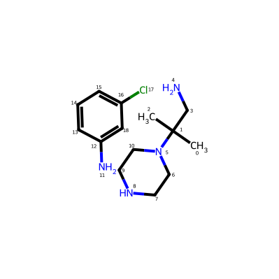 CC(C)(CN)N1CCNCC1.Nc1cccc(Cl)c1